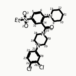 CCS(=O)(=O)c1ccc(N2CCCCC2)c(C(=O)N2CCN(c3ccc(Cl)c(Cl)c3)CC2)c1